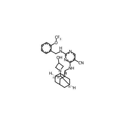 N#Cc1cnc(NCc2ccccc2OC(F)(F)F)nc1NC[C@]12CC3C[C@H](C1)[C@H](N1CC(O)C1)[C@@H](C3)C2